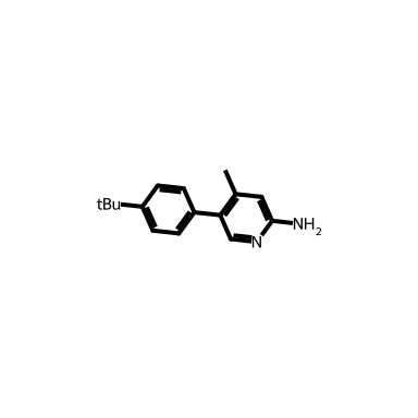 Cc1cc(N)ncc1-c1ccc(C(C)(C)C)cc1